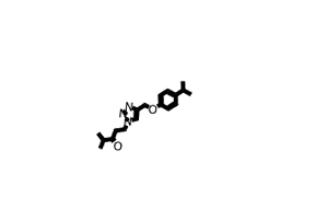 CC(C)C(=O)CCn1cc(COc2ccc(C(C)C)cc2)nn1